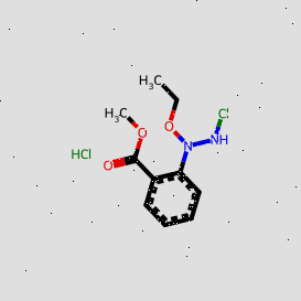 CCON(NCl)c1ccccc1C(=O)OC.Cl